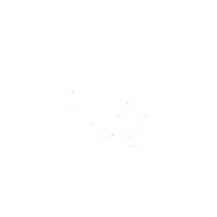 COC(=O)[C@]1(NC(=O)Cc2cc(-c3ccc(Cl)c(F)c3)ccc2C)CC[C@](C)(OC)CC1